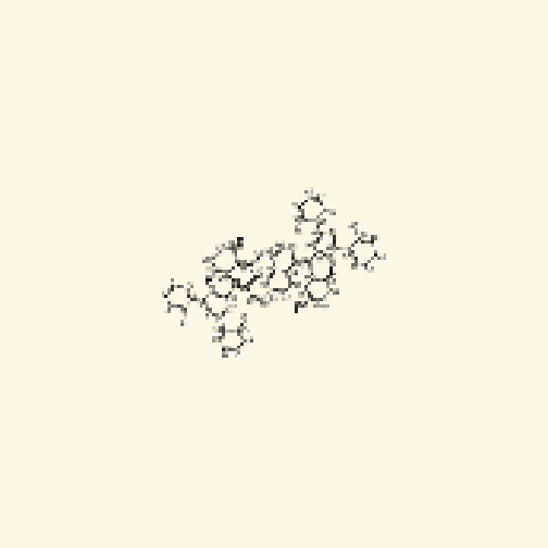 Cc1ccccc1-c1cc(-c2ccccc2C)cc(N(c2cc(F)ccc2F)c2ccc3ccc4c(N(c5cc(-c6ccccc6C)cc(-c6ccccc6C)c5)c5cc(F)ccc5F)ccc5ccc2c3c54)c1